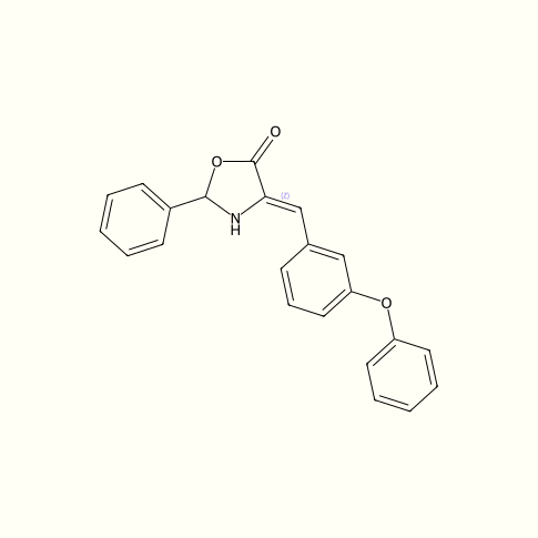 O=C1OC(c2ccccc2)N/C1=C\c1cccc(Oc2ccccc2)c1